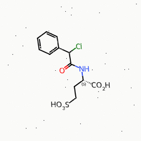 O=C(N[C@@H](CCS(=O)(=O)O)C(=O)O)C(Cl)c1ccccc1